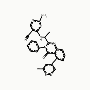 Cc1cc(-c2cccc3nc(C(C)Nc4nc(N)ncc4C#N)n(-c4ccccc4)c(=O)c23)cnn1